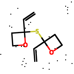 C=CC1(SC2(C=C)CCO2)CCO1